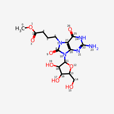 COC(=O)CCCn1c(=O)n(C2OC(CO)C(O)C2O)c2nc(N)[nH]c(=O)c21